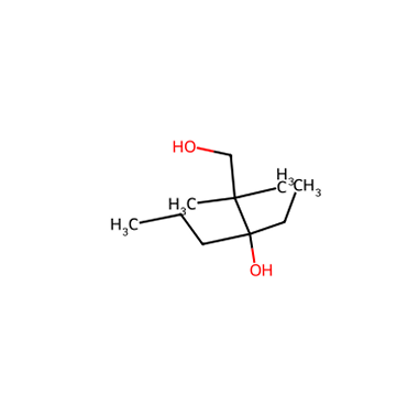 CCCC(O)(CC)C(C)(C)CO